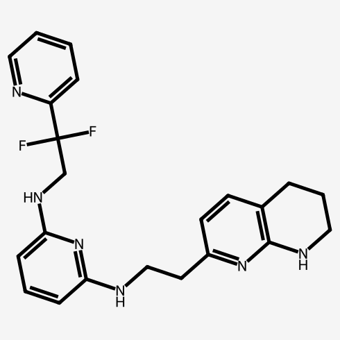 FC(F)(CNc1cccc(NCCc2ccc3c(n2)NCCC3)n1)c1ccccn1